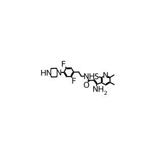 Cc1cc2c(N)c(C(=O)NCCc3cc(F)c(N4CCNCC4)cc3F)sc2nc1C